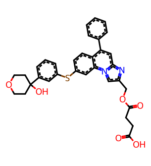 O=C(O)CCC(=O)OCc1cn2c(cc(-c3ccccc3)c3ccc(Sc4cccc(C5(O)CCOCC5)c4)cc32)n1